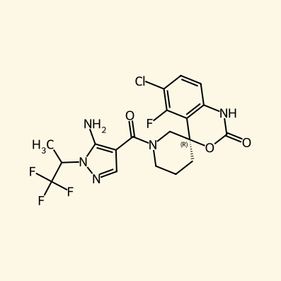 CC(n1ncc(C(=O)N2CCC[C@@]3(C2)OC(=O)Nc2ccc(Cl)c(F)c23)c1N)C(F)(F)F